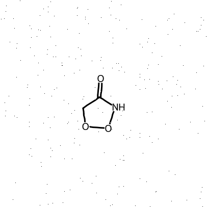 O=C1COON1